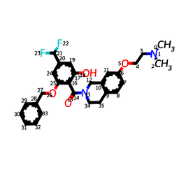 CN(C)CCOc1ccc2c(c1)CN(C(=O)c1c(O)cc(C(F)F)cc1OCc1ccccc1)CC2